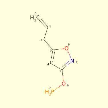 C=CCc1cc(OP)no1